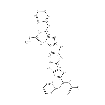 CCC(=O)OC(Cc1ccccc1)c1cc2sc3cc4c(cc3c2s1)sc1cc(C(Cc2ccccc2)OC(=O)CC(F)(F)F)sc14